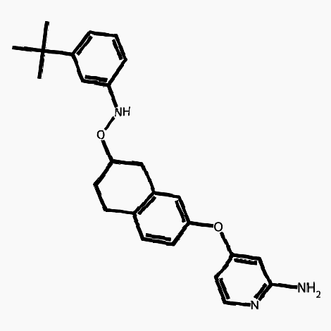 CC(C)(C)c1cccc(NOC2CCc3ccc(Oc4ccnc(N)c4)cc3C2)c1